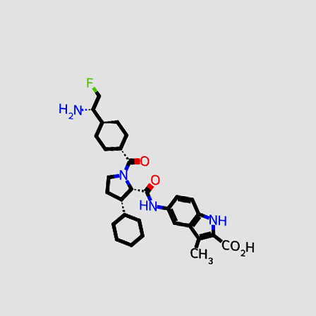 Cc1c(C(=O)O)[nH]c2ccc(NC(=O)[C@@H]3[C@H](C4CCCCC4)CCN3C(=O)[C@H]3CC[C@H]([C@H](N)CF)CC3)cc12